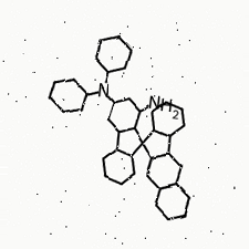 NC1CC(N(C2CCCCC2)C2CCCCC2)CC2C3CCCCC3C3(C4CCCCC4C4CC5CCCCC5CC43)C12